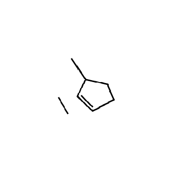 CC.CC1C=CCC1